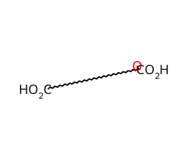 O=C(O)CCCCCCCCCCCCCCCCCCCCCCCCCCCCCCCCCCCCC(=O)C(=O)O